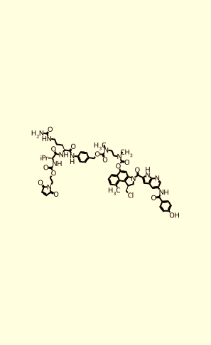 Cc1cccc2c(OC(=O)N(C)CCN(C)C(=O)OCc3ccc(NC(=O)[C@H](CCCNC(N)=O)NC(=O)[C@@H](NC(=O)OCCN4C(=O)C=CC4=O)C(C)C)cc3)cc3c(c12)[C@H](CCl)CN3C(=O)c1cc2cc(NC(=O)c3ccc(O)cc3)cnc2[nH]1